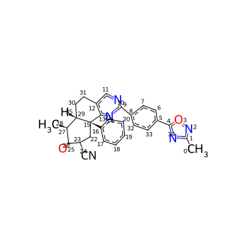 Cc1noc(-c2ccc(-c3ncc4c(n3)[C@]3(c5ccccc5)CC(C#N)C(=O)[C@@H](C)[C@@H]3CC4)cc2)n1